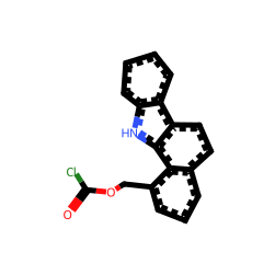 O=C(Cl)OCc1cccc2ccc3c4ccccc4[nH]c3c12